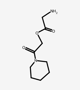 NCC(=O)OCC(=O)N1CCCCC1